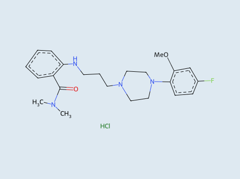 COc1cc(F)ccc1N1CCN(CCCNc2ccccc2C(=O)N(C)C)CC1.Cl